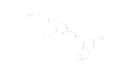 CC1(C)Cc2cc(Cl)cc(COc3ccc(CCC(=O)O)c(C(F)(F)F)c3)c2O1